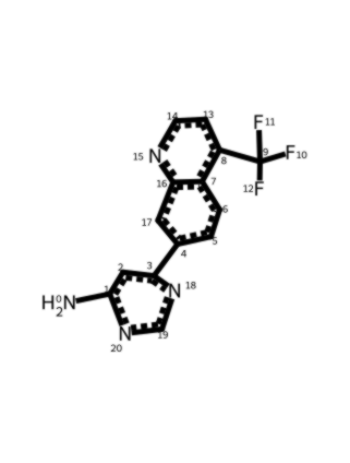 Nc1cc(-c2ccc3c(C(F)(F)F)ccnc3c2)ncn1